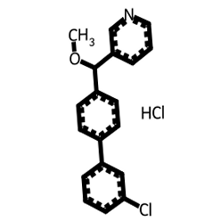 COC(c1ccc(-c2cccc(Cl)c2)cc1)c1cccnc1.Cl